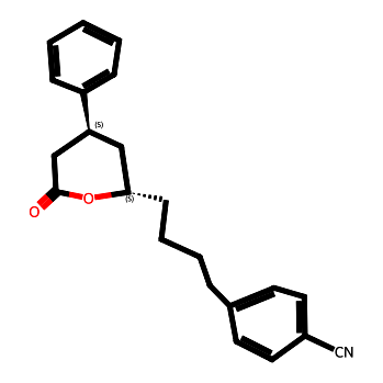 N#Cc1ccc(CCCC[C@H]2C[C@H](c3ccccc3)CC(=O)O2)cc1